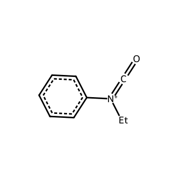 CC[N+](=C=O)c1ccccc1